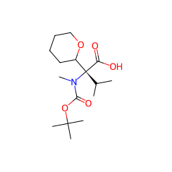 CC(C)[C@](C(=O)O)(C1CCCCO1)N(C)C(=O)OC(C)(C)C